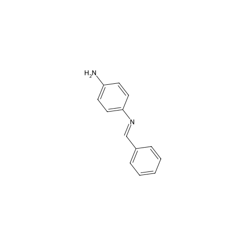 Nc1ccc(N=Cc2ccccc2)cc1